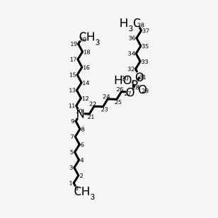 CCCCCCCCCCN(CCCCCCCCCC)CCCCCCOP(=O)(O)OCCCCCCC